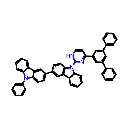 C1=CC2c3cc(-c4ccc5c(c4)c4ccccc4n5-c4ccccc4)ccc3N(C3N=C(c4cc(-c5ccccc5)cc(-c5ccccc5)c4)C=CN3)C2C=C1